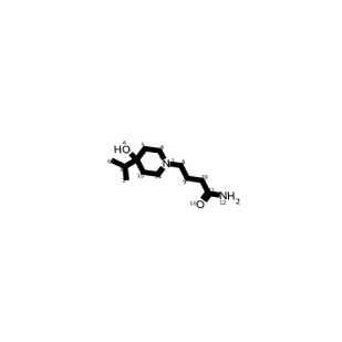 CC(C)C1(O)CCN(CCCC(N)=O)CC1